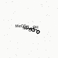 COc1nn2cc(-c3cc4c(O)c(Cc5ccccc5)ccc4o3)nc2s1